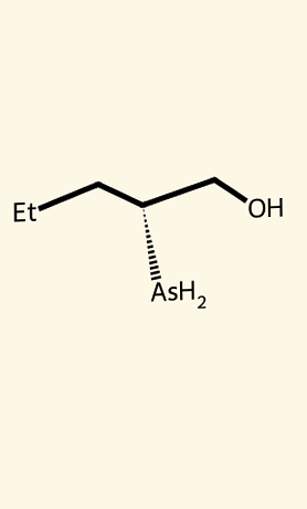 CCC[C@@H]([AsH2])CO